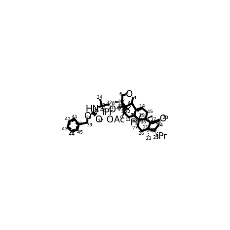 CC(=O)O[C@@H]1C[C@@]23COC[C@](C)([C@@H]2CC[C@H]2C3=CC[C@]3(C)C(=C=O)[C@@](C)([C@H](C)C(C)C)CC[C@]23C)[C@H]1OC[C@@](C)(NC(=O)OCc1ccccc1)C(C)C